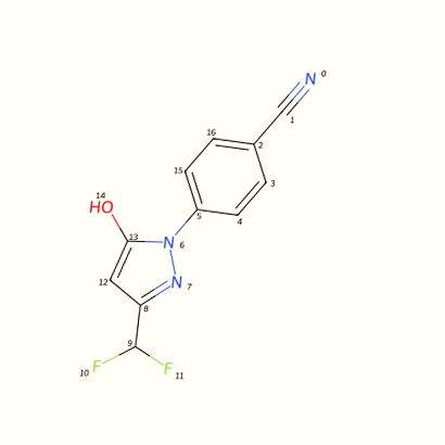 N#Cc1ccc(-n2nc(C(F)F)cc2O)cc1